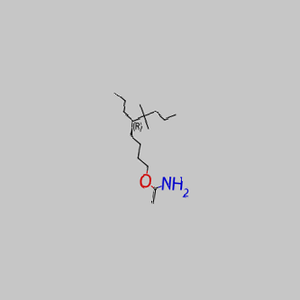 C=C(N)OCCCC[C@@H](CCC)C(C)(C)CCC